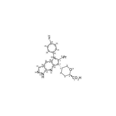 CC(C)c1c([C@H]2CC[C@H](C(=O)O)OC2)c2nc3[nH]ncc3cc2n1-c1ccc(F)cc1